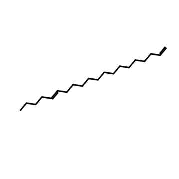 C=CCCCCCCCCCCCCC=CCCCC